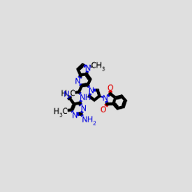 Cc1nc(N)nc(NC(C)c2nc3ccn(C)c3cc2N2CC[C@H](N3C(=O)c4ccccc4C3=O)C2)c1C#N